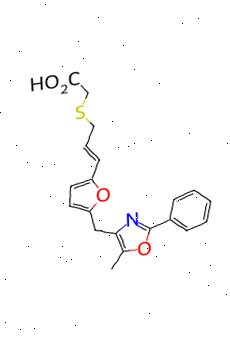 Cc1oc(-c2ccccc2)nc1Cc1ccc(/C=C/CSCC(=O)O)o1